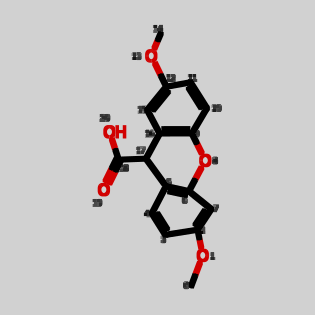 COc1ccc2c(c1)Oc1ccc(OC)cc1C2C(=O)O